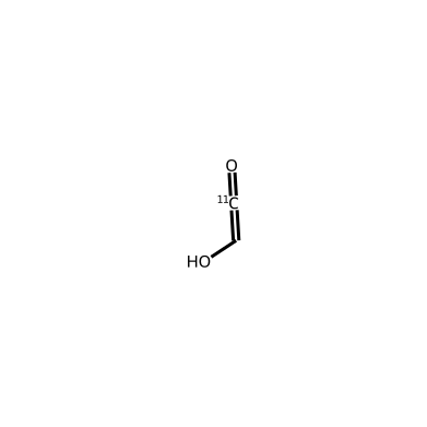 O=[11C]=CO